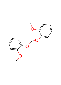 COc1ccccc1OCOc1ccccc1OC